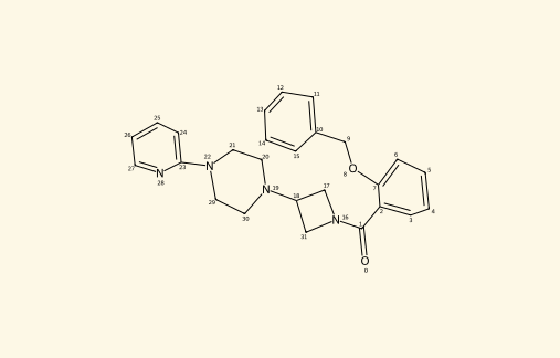 O=C(c1ccccc1OCc1ccccc1)N1CC(N2CCN(c3ccccn3)CC2)C1